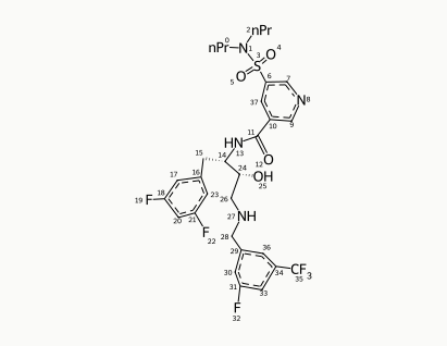 CCCN(CCC)S(=O)(=O)c1cncc(C(=O)N[C@@H](Cc2cc(F)cc(F)c2)[C@H](O)CNCc2cc(F)cc(C(F)(F)F)c2)c1